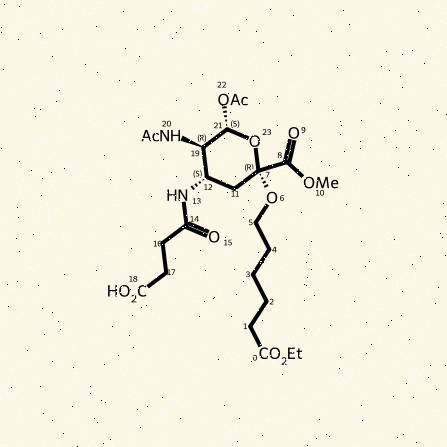 CCOC(=O)CCCCCO[C@]1(C(=O)OC)C[C@H](NC(=O)CCC(=O)O)[C@@H](NC(C)=O)[C@H](OC(C)=O)O1